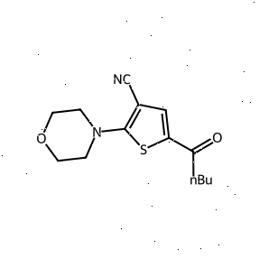 CCCCC(=O)c1cc(C#N)c(N2CCOCC2)s1